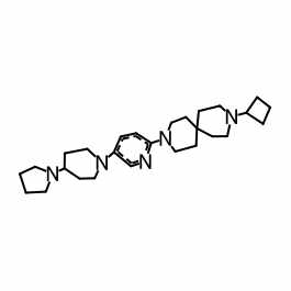 c1cc(N2CCC3(CC2)CCN(C2CCC2)CC3)ncc1N1CCC(N2CCCC2)CC1